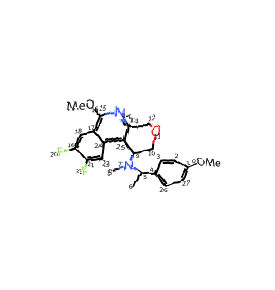 COc1ccc(C(C)N(C)[C@@H]2COCc3nc(OC)c4cc(F)c(F)cc4c32)cc1